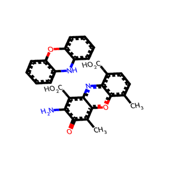 Cc1c2oc3c(C)ccc(C(=O)O)c3nc-2c(C(=O)O)c(N)c1=O.c1ccc2c(c1)Nc1ccccc1O2